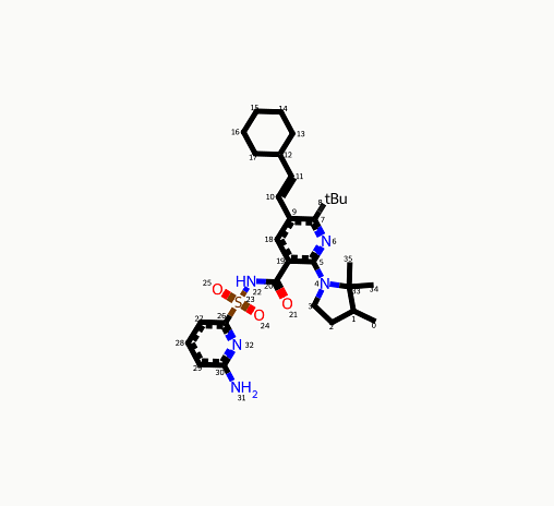 CC1CCN(c2nc(C(C)(C)C)c(/C=C/C3CCCCC3)cc2C(=O)NS(=O)(=O)c2cccc(N)n2)C1(C)C